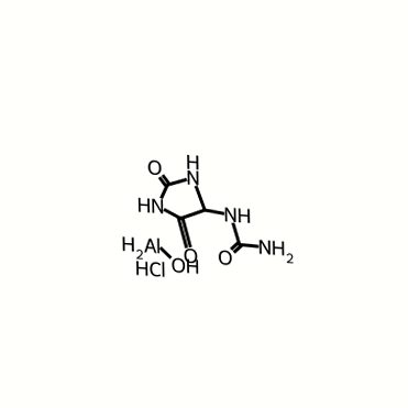 Cl.NC(=O)NC1NC(=O)NC1=O.[OH][AlH2]